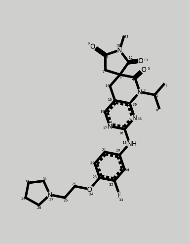 CC(C)N1C(=O)C2(CC(=O)N(C)C2=O)Cc2cnc(Nc3ccc(OCCN4CCCC4)c(F)c3)nc21